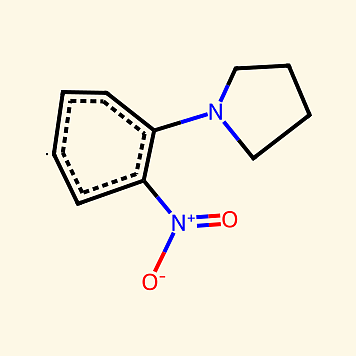 O=[N+]([O-])c1c[c]ccc1N1CCCC1